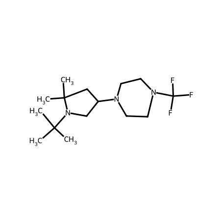 CC(C)(C)N1CC(N2CCN(C(F)(F)F)CC2)CC1(C)C